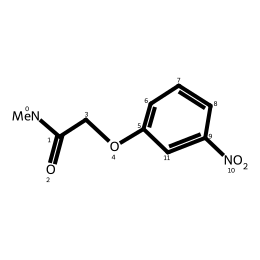 CNC(=O)COc1cccc([N+](=O)[O-])c1